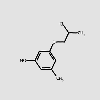 Cc1cc(O)cc(OCC(C)Cl)c1